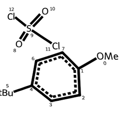 COc1ccc(C(C)(C)C)cc1.O=S(=O)(Cl)Cl